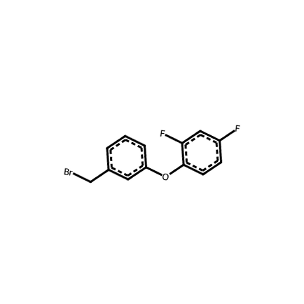 Fc1ccc(Oc2cccc(CBr)c2)c(F)c1